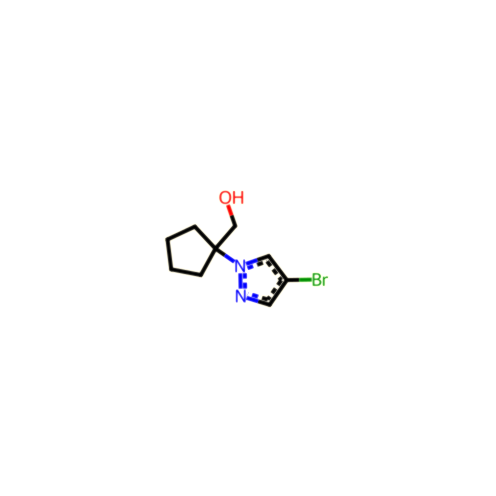 OCC1(n2cc(Br)cn2)CCCC1